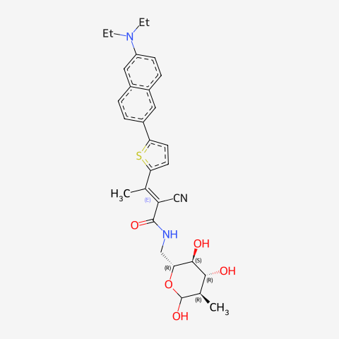 CCN(CC)c1ccc2cc(-c3ccc(/C(C)=C(\C#N)C(=O)NC[C@H]4OC(O)[C@H](C)[C@@H](O)[C@@H]4O)s3)ccc2c1